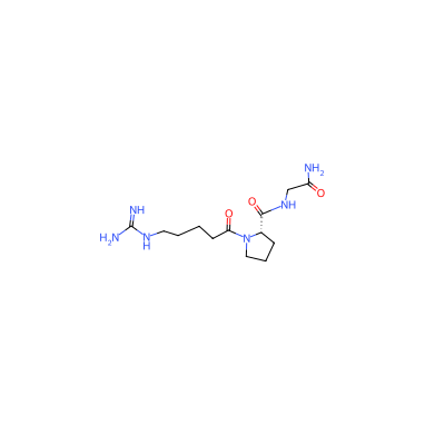 N=C(N)NCCCCC(=O)N1CCC[C@H]1C(=O)NCC(N)=O